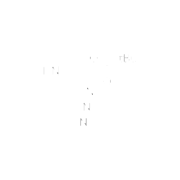 CC(C)(C)C(=O)OC1CNCC1N=[N+]=[N-]